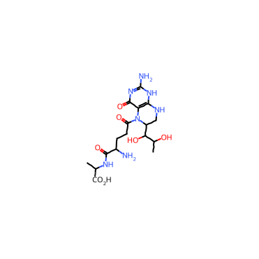 CC(NC(=O)C(N)CCC(=O)N1c2c([nH]c(N)nc2=O)NCC1C(O)C(C)O)C(=O)O